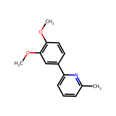 COc1ccc(-c2cccc(C)n2)cc1OC